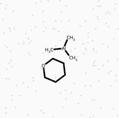 C1CCOCC1.[CH3][Al]([CH3])[CH3]